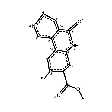 COC(=O)c1cc2[nH]c(=O)c3ccncc3c2cc1C